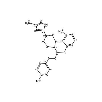 Cc1cccc(CN(CCc2ccc(Cl)cc2)C2CCN(c3nc(N)n[nH]3)CC2)c1